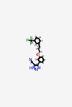 N#Cc1[nH]nnc1-c1cccc(OC/C=C/c2cccc(C(F)(F)F)c2)c1